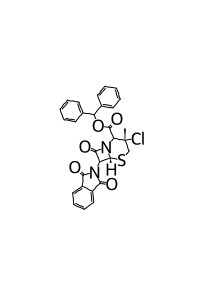 C[C@@]1(Cl)CS[C@@H]2C(N3C(=O)c4ccccc4C3=O)C(=O)N2C1C(=O)OC(c1ccccc1)c1ccccc1